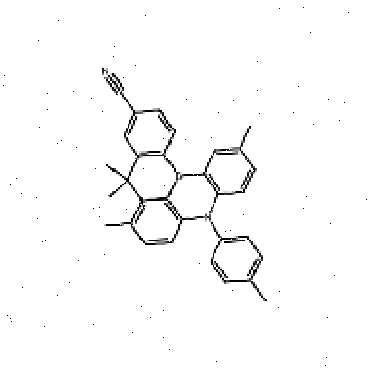 Cc1ccc(N2c3ccc(C)cc3B3c4ccc(C#N)cc4C(C)(C)c4c(C)ccc2c43)cc1